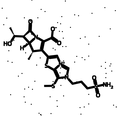 CSc1c2sc(C3=C(C(=O)[O-])N4C(=O)[C@H]([C@@H](C)O)[C@H]4[C@H]3C)c[n+]2cn1CCCS(N)(=O)=O